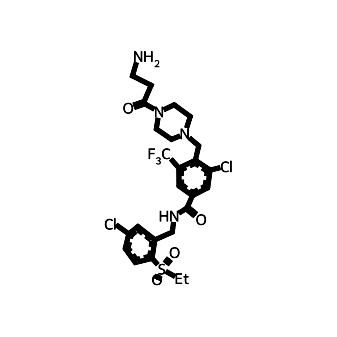 CCS(=O)(=O)c1ccc(Cl)cc1CNC(=O)c1cc(Cl)c(CN2CCN(C(=O)CCN)CC2)c(C(F)(F)F)c1